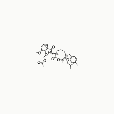 COc1ccnc(C(=O)N[C@H]2CCC[C@H](Cc3ccc(C)cc3)[C@@H](OCC(C)C)[C@H](C)OC2=O)c1OCOC(C)=O